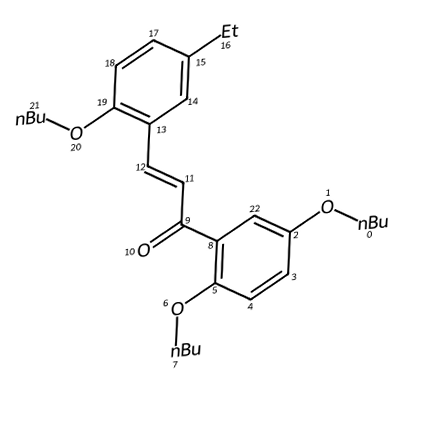 CCCCOc1ccc(OCCCC)c(C(=O)/C=C/c2cc(CC)ccc2OCCCC)c1